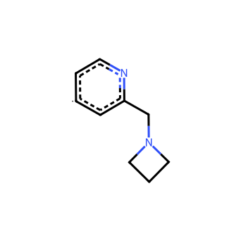 [c]1ccnc(CN2CCC2)c1